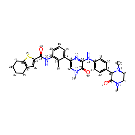 CCN1CCN(C)C(=O)C1c1ccc(Nc2nc(-c3cccc(NC(=O)c4cc5c(s4)CCCC5)c3C)cn(C)c2=O)cc1